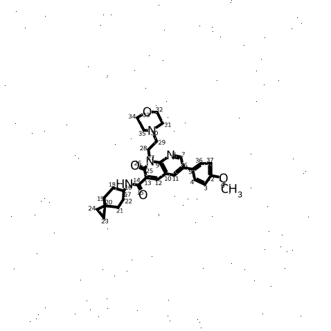 COc1ccc(-c2cnc3c(c2)cc(C(=O)NC2CCC4(CC2)CC4)c(=O)n3CCN2CCOCC2)cc1